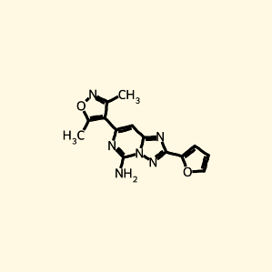 Cc1noc(C)c1-c1cc2nc(-c3ccco3)nn2c(N)n1